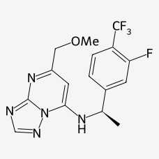 COCc1cc(N[C@H](C)c2ccc(C(F)(F)F)c(F)c2)n2ncnc2n1